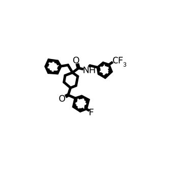 O=C(c1ccc(F)cc1)C1CCC(Cc2ccccc2)(C(=O)NCc2cccc(C(F)(F)F)c2)CC1